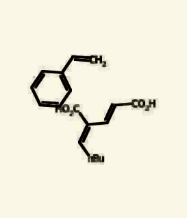 C=Cc1ccccc1.CCCCC=C(C=CC(=O)O)C(=O)O